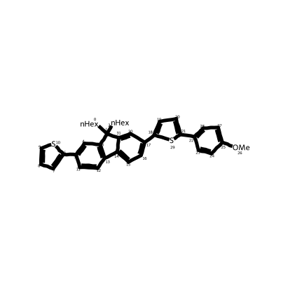 CCCCCCC1(CCCCCC)c2cc(-c3cccs3)ccc2-c2ccc(-c3ccc(-c4ccc(OC)cc4)s3)cc21